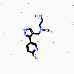 CN(CCN)Cc1c[nH]nc1-c1ccc(C#N)nc1